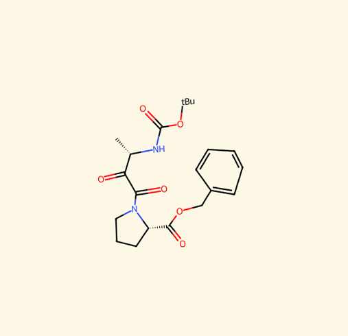 C[C@H](NC(=O)OC(C)(C)C)C(=O)C(=O)N1CCC[C@H]1C(=O)OCc1ccccc1